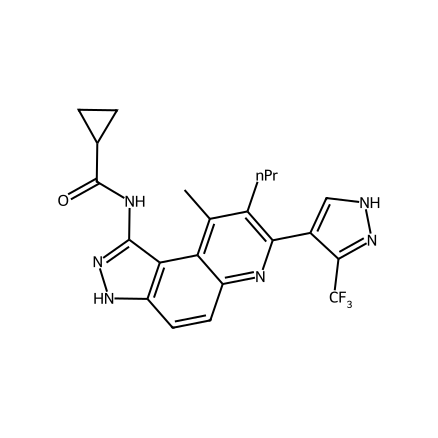 CCCc1c(-c2c[nH]nc2C(F)(F)F)nc2ccc3[nH]nc(NC(=O)C4CC4)c3c2c1C